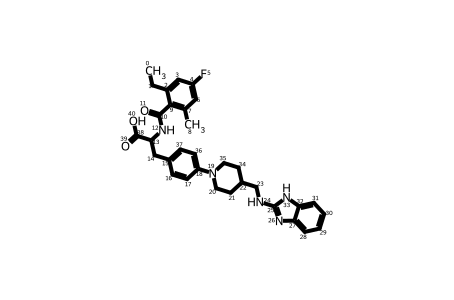 CCc1cc(F)cc(C)c1C(=O)NC(Cc1ccc(N2CCC(CNc3nc4ccccc4[nH]3)CC2)cc1)C(=O)O